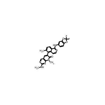 CNc1ncc2cc(-c3c(C)ccc4c(Nc5ccc6c(c5)OC(F)(F)O6)nccc34)c(=O)n(C)c2n1